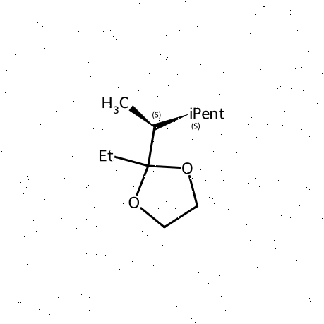 CCC[C@H](C)[C@H](C)C1(CC)OCCO1